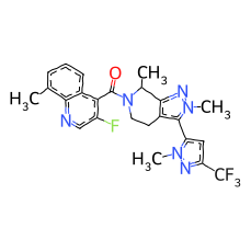 Cc1cccc2c(C(=O)N3CCc4c(nn(C)c4-c4cc(C(F)(F)F)nn4C)C3C)c(F)cnc12